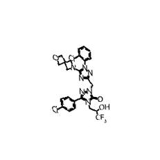 O=c1n(Cc2nc(N3CC4(COC4)C3)n(-c3ccccc3Cl)n2)nc(-c2ccc(Cl)cc2)n1CC(O)C(F)(F)F